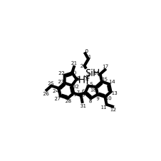 CCC[SiH]=[Hf]([CH]1C(C)=Cc2c(CC)ccc(CC)c21)[CH]1C(C)=Cc2c(CC)ccc(CC)c21